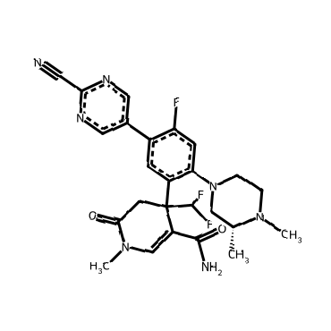 C[C@@H]1CN(c2cc(F)c(-c3cnc(C#N)nc3)cc2C2(C(F)F)CC(=O)N(C)C=C2C(N)=O)CCN1C